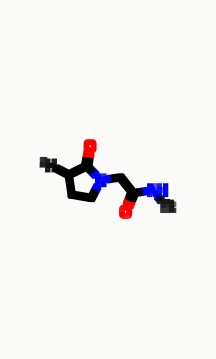 [2H]C1CCN(CC(=O)NC[CH2])C1=O